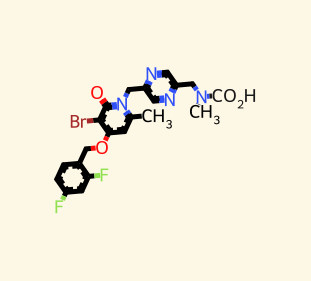 Cc1cc(OCc2ccc(F)cc2F)c(Br)c(=O)n1Cc1cnc(CN(C)C(=O)O)cn1